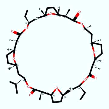 CC[C@H]1C[C@@H]2CC[C@@H](O2)[C@@H](C)C(=O)O[C@H](C(C)C)C[C@H]2CC[C@H](O2)[C@H](C)C(=O)O[C@@H](CC)C[C@@H]2CC[C@@H](O2)[C@@H](C)C(=O)O[C@H](C)C[C@H]2CC[C@H](O2)[C@H](C)C(=O)O1